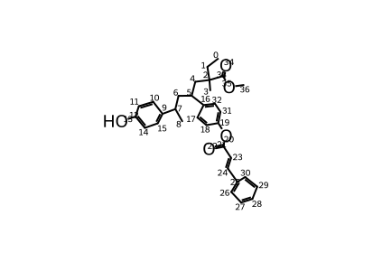 CCC(C)(CC(CC(C)c1ccc(O)cc1)c1ccc(OC(=O)/C=C/c2ccccc2)cc1)C(=O)OC